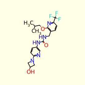 CC(C)COc1nc(C(F)(F)F)ccc1CNC(=O)Nc1ccc(N2CC(O)C2)nc1